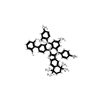 Cc1ccc(N2c3cc(-c4c(F)cccc4F)ccc3B3c4oc5cc6c(cc5c4N(c4ccc(C(C)(C)C)cc4)c4cc(C)cc2c43)C(C)(C)CCC6(C)C)c(C)c1